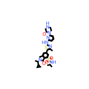 Cc1nc(Nc2cccc(N3CCNCC3=O)n2)sc1-c1cc2c(c(S(=O)(=O)NC(C)C)c1)C(=O)N(C(C)C1CC1)C2